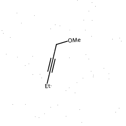 C[CH]C#CCOC